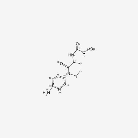 CC(C)(C)OC(=O)NC1CCCN(c2ccc(N)nc2)C1=O